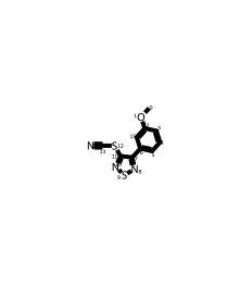 COc1cccc(-c2nsnc2SC#N)c1